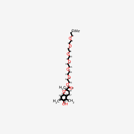 COCCOCCOCCOCCOCCOCCOCCOC(=O)C1(C)CCc2c(cc(C)c(O)c2C)O1